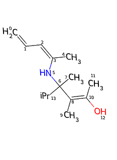 C=C/C=C(/C)NC(C)(/C(C)=C(\C)O)C(C)C